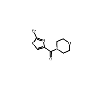 O=C(c1csc(Br)n1)N1CCOCC1